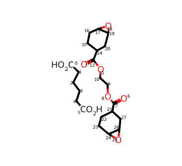 O=C(O)CCCCC(=O)O.O=C(OCCOC(=O)C1CCC2OC2C1)C1CCC2OC2C1